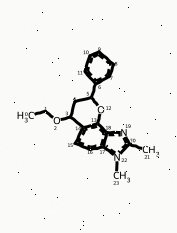 CCOC1CC(c2ccccc2)Oc2c1ccc1c2nc(C)n1C